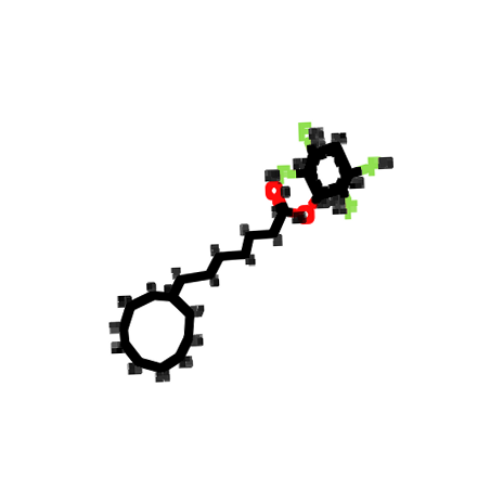 O=C(CCCCCCC1CCCCCCCCC1)Oc1c(F)c(F)cc(F)c1F